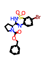 O=C(OCc1ccccc1)N1CCC[C@H]1C1=Nc2ccc(Br)cc2S(=O)(=O)N1